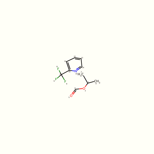 CC(C)OC=O.FC(F)(F)c1ccccn1